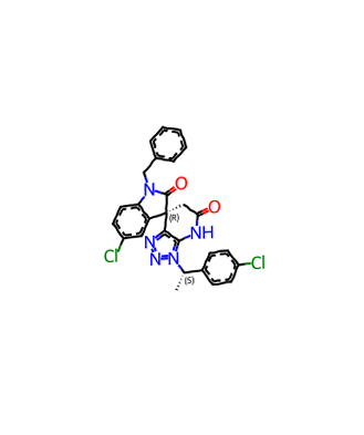 C[C@@H](c1ccc(Cl)cc1)n1nnc2c1NC(=O)C[C@]21C(=O)N(Cc2ccccc2)c2ccc(Cl)cc21